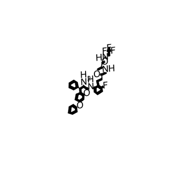 N[C@H](C(=O)Nc1cccc(F)c1CC[C@@H]1CN[C@H](CONCC(F)(F)F)CO1)[C@H](c1ccccc1)c1ccc(Oc2ccccc2)cc1